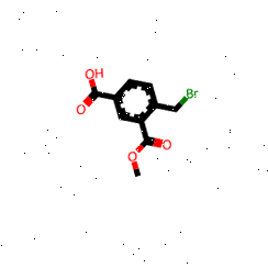 COC(=O)c1cc(C(=O)O)ccc1CBr